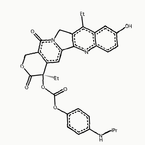 CCc1c2c(nc3ccc(O)cc13)-c1cc3c(c(=O)n1C2)COC(=O)[C@]3(CC)OC(=O)Oc1ccc(NC(C)C)cc1